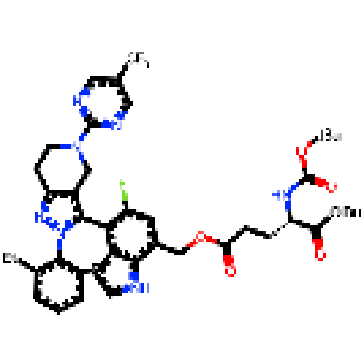 CCc1cccc(CC)c1-n1nc2c(c1-c1c(F)cc(COC(=O)CC[C@H](NC(=O)OC(C)(C)C)C(=O)OCC(C)C)c3[nH]ccc13)CN(c1ncc(C(F)(F)F)cn1)CC2